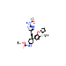 CCC(=O)Nc1ncc(C#CC2(c3ccc(OC)c(OC4CCCC4)c3)CCC(NC(=O)OC(C)(C)C)CC2)cn1